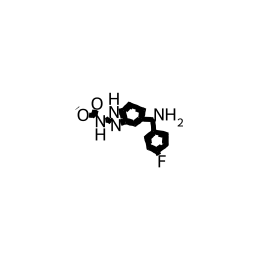 COC(=O)Nc1nc2cc(C(N)c3ccc(F)cc3)ccc2[nH]1